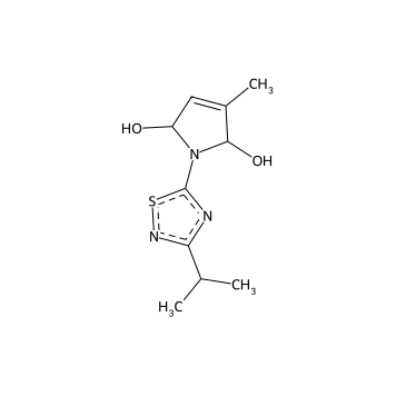 CC1=CC(O)N(c2nc(C(C)C)ns2)C1O